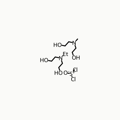 CCN(CCO)CCO.CN(CCO)CCO.[O-][S+](Cl)Cl